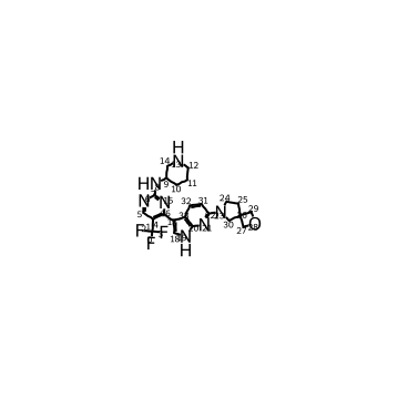 FC(F)(F)c1cnc(NC2CCCNC2)nc1-c1c[nH]c2nc(N3CCC4(COC4)C3)ccc12